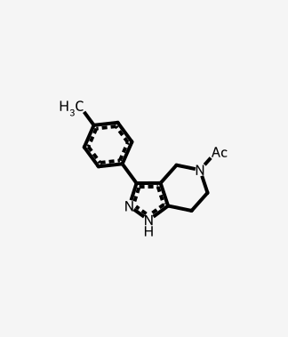 CC(=O)N1CCc2[nH]nc(-c3ccc(C)cc3)c2C1